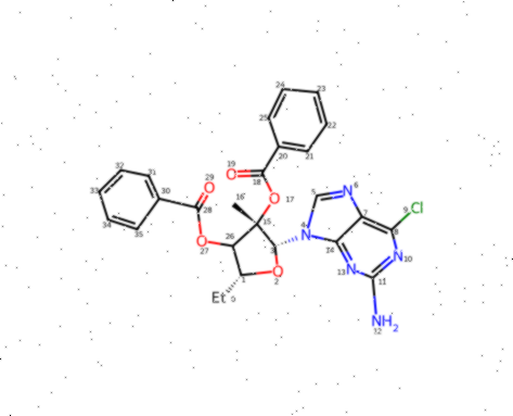 CC[C@H]1O[C@@H](n2cnc3c(Cl)nc(N)nc32)[C@@](C)(OC(=O)c2ccccc2)C1OC(=O)c1ccccc1